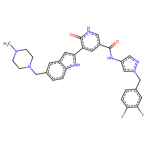 CN1CCN(Cc2ccc3[nH]c(-c4cc(C(=O)Nc5cnn(Cc6ccc(F)c(F)c6)c5)c[nH]c4=O)cc3c2)CC1